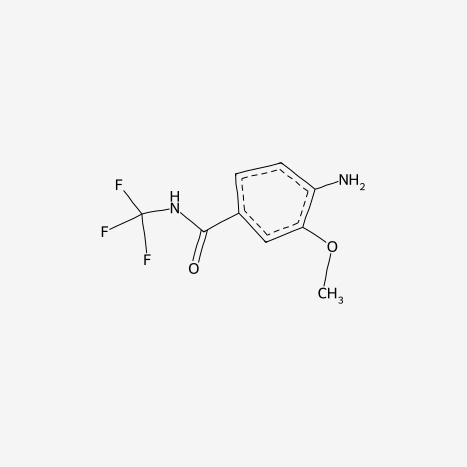 COc1cc(C(=O)NC(F)(F)F)ccc1N